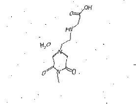 CN1C(=O)CN(CCNCC(=O)O)CC1=O.O